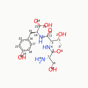 C[C@@H](O)[C@H](NC(=O)[C@@H](N)CO)C(=O)N[C@@H](Cc1ccc(O)cc1)C(=O)O